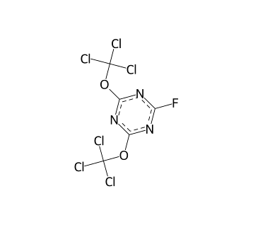 Fc1nc(OC(Cl)(Cl)Cl)nc(OC(Cl)(Cl)Cl)n1